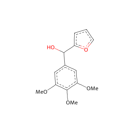 COc1cc(C(O)c2ccco2)cc(OC)c1OC